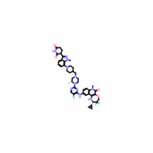 C[C@@H]1CN(CC2CCN(c3cccc4c(C5CCC(=O)NC5=O)nn(C)c34)CC2)CCN1c1ncc(Cl)c(Nc2ccc3c(c2)c2c(c(=O)n3C)OCC(F)(F)[C@H](C3CC3)N2)n1